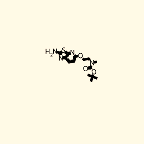 CN(CCOc1ccc2nc(N)sc2n1)C(=O)OC(C)(C)C